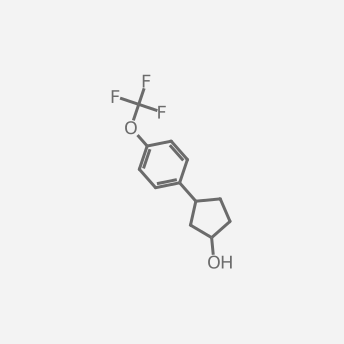 OC1CCC(c2ccc(OC(F)(F)F)cc2)C1